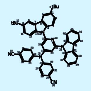 CC(C)(C)c1ccc2c(c1)c1cc(C(C)(C)C)ccc1n2-c1cc(N(c2ccc(C#N)cc2)c2ccc(C#N)cc2)cc(-n2c3ccccc3c3ccccc32)n1